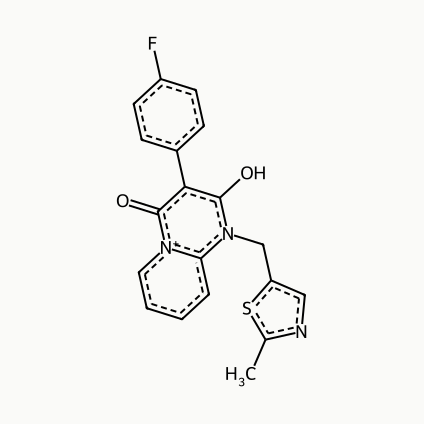 Cc1ncc(Cn2c(O)c(-c3ccc(F)cc3)c(=O)[n+]3ccccc23)s1